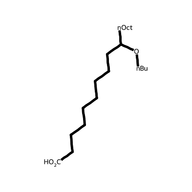 CCCCCCCCC(CCCCCCCCC(=O)O)OCCCC